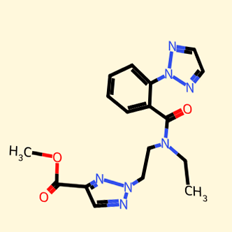 CCN(CCn1ncc(C(=O)OC)n1)C(=O)c1ccccc1-n1nccn1